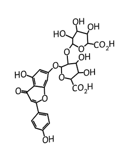 O=C(O)C1OC(OC2C(Oc3cc(O)c4c(=O)cc(-c5ccc(O)cc5)oc4c3)OC(C(=O)O)C(O)C2O)C(O)C(O)C1O